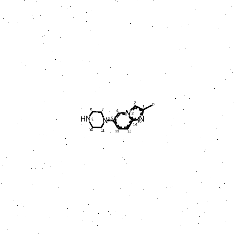 Cc1cn2cc(N3CCNCC3)ccc2n1